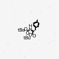 Cc1ccc(C[C@@H](NC(=O)OC(C)(C)C)C(=O)OC(C)(C)C)cc1